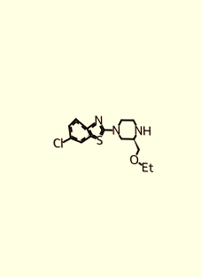 CCOC[C@H]1CN(c2nc3ccc(Cl)cc3s2)CCN1